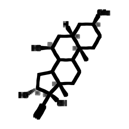 C#C[C@]1(O)[C@H](O)CC2C3C(CC[C@@]21C)[C@@]1(C)CC[C@H](OC(C)=O)C[C@H]1C[C@@H]3O